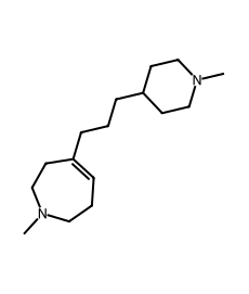 CN1CCC=C(CCCC2CCN(C)CC2)CC1